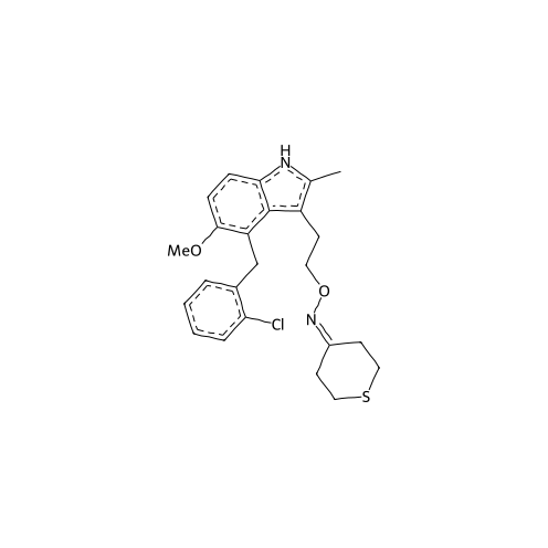 COc1ccc2[nH]c(C)c(CCON=C3CCSCC3)c2c1Cc1ccccc1Cl